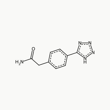 NC(=O)Cc1ccc(-c2nnn[nH]2)cc1